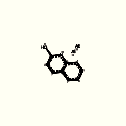 Oc1ccc2ccccc2n1.[Al].[Al]